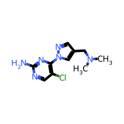 CN(C)Cc1cnn(-c2nc(N)ncc2Cl)c1